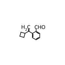 C=C(c1ccccc1C=O)C1CCC1